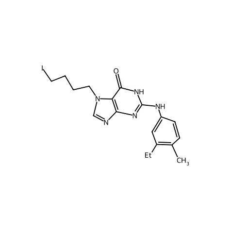 CCc1cc(Nc2nc3ncn(CCCCI)c3c(=O)[nH]2)ccc1C